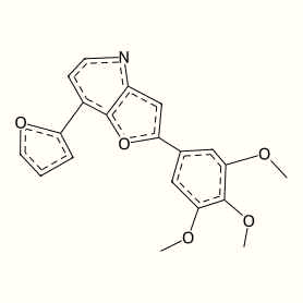 COc1cc(-c2cc3nccc(-c4ccco4)c3o2)cc(OC)c1OC